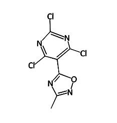 Cc1noc(-c2c(Cl)nc(Cl)nc2Cl)n1